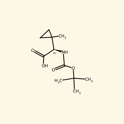 CC(C)(C)OC(=O)N[C@@H](C(=O)O)C1(C)CC1